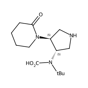 CC(C)(C)N(C(=O)O)[C@H]1CNC[C@@H]1N1CCCCC1=O